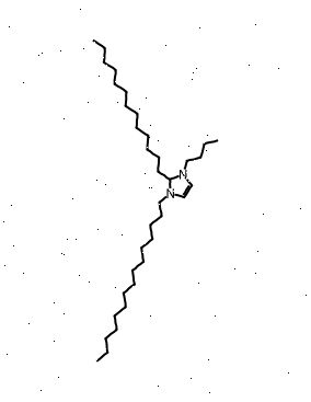 CCCCCCCCCCCCCCCN1C=CN(CCCC)C1CCCCCCCCCCCCC